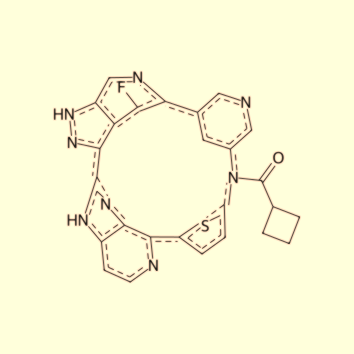 O=C(C1CCC1)n1c2cncc(c2)c2ncc3[nH]nc(c4nc5c(ccnc5c5ccc1s5)[nH]4)c3c2F